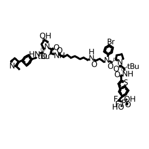 CC1=C(c2ccc(CNC(=O)[C@@H]3C[C@@H](O)CN3C(=O)[C@@H](NC(=O)CCCCCCCNC(=O)CCN(C(=O)[C@@H]3CCCN3C(=O)[C@@H](NC(=O)c3cc4cc(C(F)(F)P(=O)(O)O)ccc4s3)C(C)(C)C)c3ccc(Br)cc3)C(C)(C)C)cc2)CC=N1